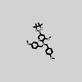 COc1ccc(CN(Cc2ccc(OC)cc2)c2ncc(B3OC(C)(C)C(C)(C)O3)cc2OC)cc1